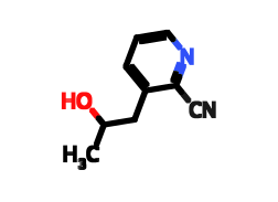 CC(O)Cc1cccnc1C#N